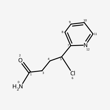 NC(=O)CCC(Cl)c1ccccn1